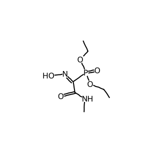 CCOP(=O)(OCC)/C(=N/O)C(=O)NC